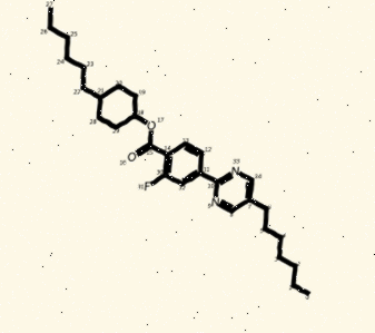 CCCCCCCc1cnc(-c2ccc(C(=O)OC3CCC(CCCCCC)CC3)c(F)c2)nc1